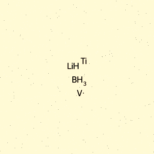 B.[LiH].[Ti].[V]